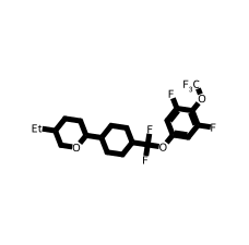 CCC1CCC(C2CCC(C(F)(F)Oc3cc(F)c(OC(F)(F)F)c(F)c3)CC2)OC1